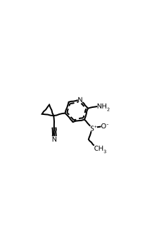 CC[S+]([O-])c1cc(C2(C#N)CC2)cnc1N